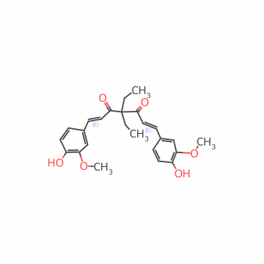 CCC(CC)(C(=O)/C=C/c1ccc(O)c(OC)c1)C(=O)/C=C/c1ccc(O)c(OC)c1